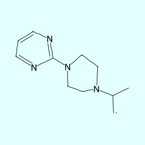 [CH2]C(C)N1CCN(c2ncccn2)CC1